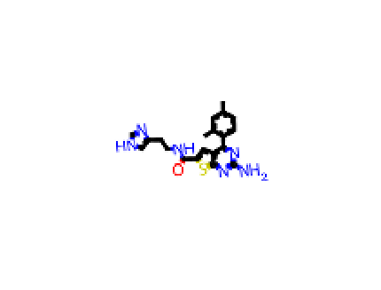 Cc1ccc(-c2nc(N)nc3sc(C(=O)NCCc4c[nH]cn4)cc23)c(C)c1